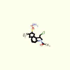 NOOSc1cc2c3c(ccc2cc1[N+](=O)[O-])N(C(=O)C(F)(F)F)CC3CCl